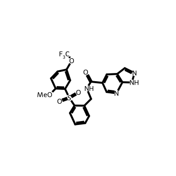 COc1ccc(OC(F)(F)F)cc1S(=O)(=O)c1ccccc1CNC(=O)c1cnc2[nH]ncc2c1